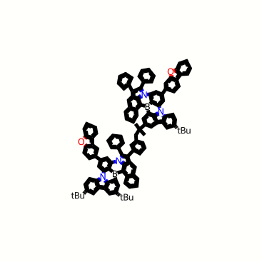 CC(C)(C)c1ccc2c(c1)c1cc(C(C)(C)C)cc3c1n2-c1cc(-c2ccc4oc5ccccc5c4c2)cc2c1B3c1c3ccccc3cc3c(-c4cccc(CC(C)(C)c5cc6c7c(c5)c5cc(C(C)(C)C)ccc5n7-c5cc(-c7ccc8c(c7)oc7ccccc78)cc7c5B6c5c6ccccc6cc6c(-c8ccccc8)c(-c8ccccc8)n-7c56)c4)c(-c4ccccc4)n-2c13